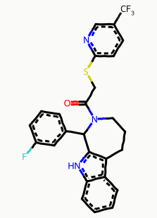 O=C(CSc1ccc(C(F)(F)F)cn1)N1CCCc2c([nH]c3ccccc23)C1c1cccc(F)c1